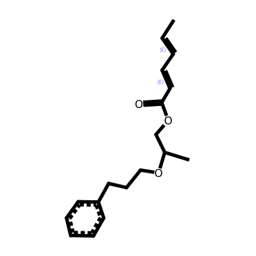 C/C=C/C=C/C(=O)OCC(C)OCCCc1ccccc1